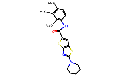 COc1ccc(NC(=O)c2cc3sc(N4CCCCC4)nc3s2)c(OC)c1OC